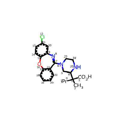 CC(C)C(C)(C(=O)O)C1CN(C2=Nc3cc(Cl)ccc3Oc3ccccc32)CCN1